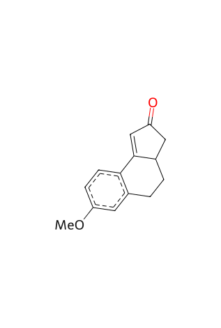 COc1ccc2c(c1)CCC1CC(=O)C=C21